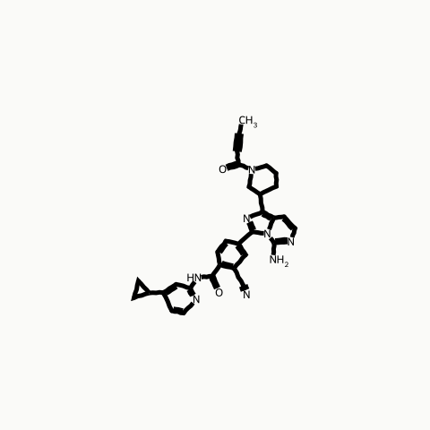 CC#CC(=O)N1CCCC(c2nc(-c3ccc(C(=O)Nc4cc(C5CC5)ccn4)c(C#N)c3)n3c(N)nccc23)C1